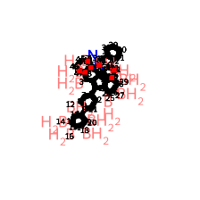 BC1=C(B)C2=C(c3ccc(-c4c(B)c(B)c(B)c(B)c4B)cc3)c3c(B)c(B)c(B)c(B)c3C2(C2(n3c(-c4ccccc4)nc4ccccc43)C=CC=C2)C(B)=C1B